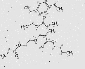 C=CC(=O)OCC.C=CC(=O)OCCOCC(=C)C(=O)OCCCC.C=Cc1ccc(CCl)cc1